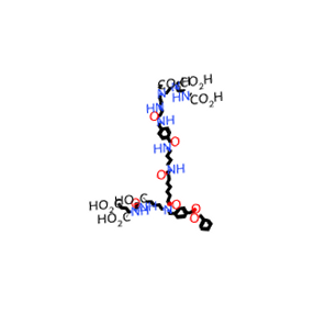 O=C(O)CC[C@H](NC(=O)N[C@@H](CCCCN(Cc1ccc(C(=O)OCc2ccccc2)cc1)C(=O)CCCCCCC(=O)NCCCCNC(=O)c1ccc(CNC(=O)CNCCN(CCN(CCNCC(=O)O)CC(=O)O)CC(=O)O)cc1)C(=O)O)C(=O)O